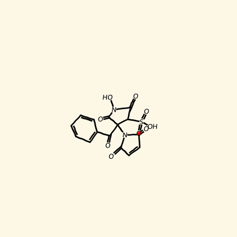 O=C1C(S(=O)(=O)O)C(C(=O)c2ccccc2)(N2C(=O)C=CC2=O)C(=O)N1O